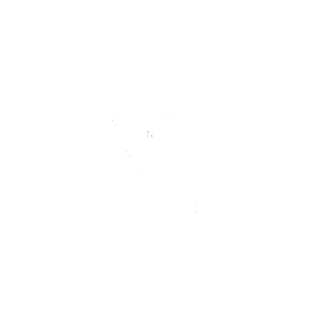 O=C1OC(Cc2ccccc2)CN1c1ccccc1